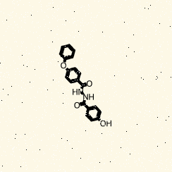 O=C(NNC(=O)c1ccc(Oc2ccccc2)cc1)c1ccc(O)cc1